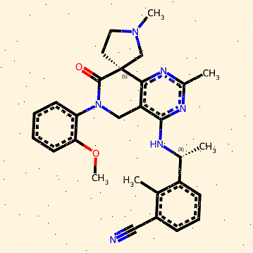 COc1ccccc1N1Cc2c(N[C@H](C)c3cccc(C#N)c3C)nc(C)nc2[C@@]2(CCN(C)C2)C1=O